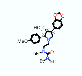 CCCN(CCN1C[C@H](c2ccc3c(c2)OCO3)[C@H](C(=O)O)[C@H]1c1ccc(OC)cc1)C(=O)N(CC)CC